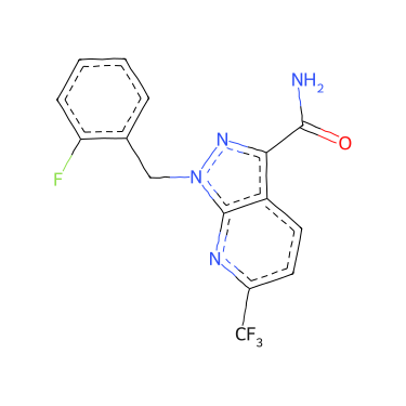 NC(=O)c1nn(Cc2ccccc2F)c2nc(C(F)(F)F)ccc12